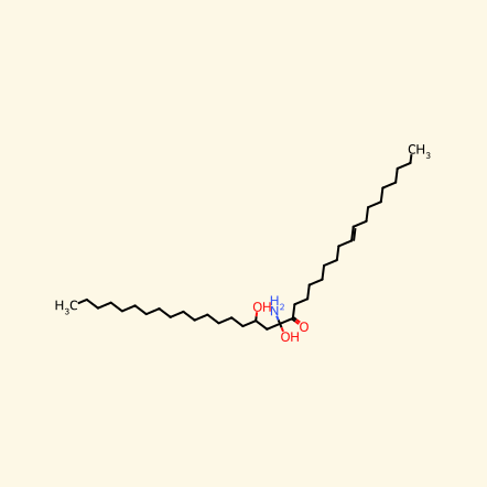 CCCCCCCCC=CCCCCCCCC(=O)C(N)(O)CC(O)CCCCCCCCCCCCCCC